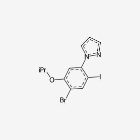 CC(C)Oc1cc(-n2cccn2)c(I)cc1Br